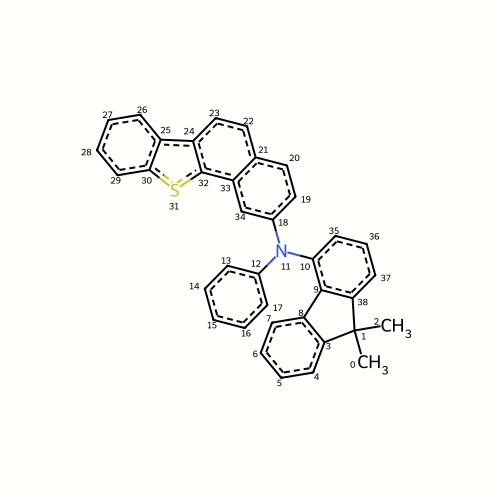 CC1(C)c2ccccc2-c2c(N(c3ccccc3)c3ccc4ccc5c6ccccc6sc5c4c3)cccc21